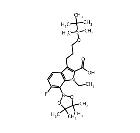 CCn1c(C(=O)O)c(CCCO[Si](C)(C)C(C)(C)C)c2ccc(F)c(B3OC(C)(C)C(C)(C)O3)c21